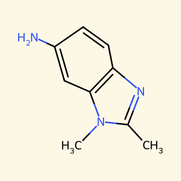 Cc1nc2ccc(N)cc2n1C